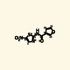 O=C(Nc1ncc([N+](=O)[O-])s1)c1ccoc1